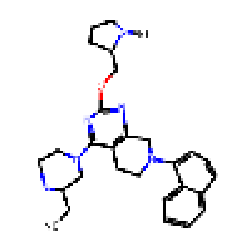 CCN1CCCC1COc1nc2c(c(N3CCNC(CC#N)C3)n1)CCN(c1cccc3ccccc13)C2